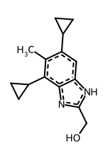 Cc1c(C2CC2)cc2[nH]c(CO)nc2c1C1CC1